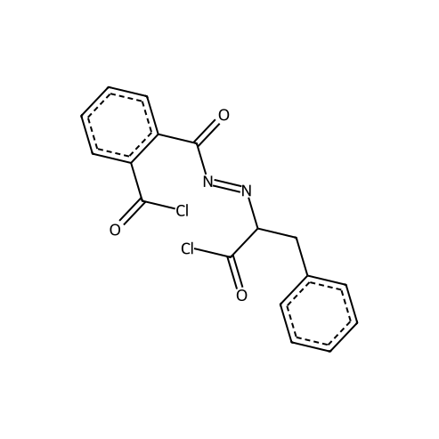 O=C(Cl)c1ccccc1C(=O)N=NC(Cc1ccccc1)C(=O)Cl